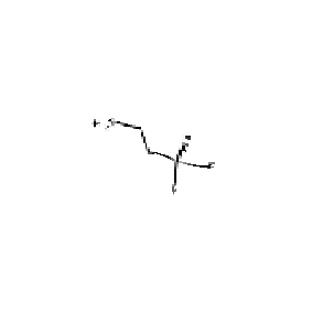 FC(F)(F)CC[SiH2]